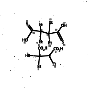 CCC(C(=O)O)C(S)(CC)C(=O)O.CCC(CC)(C(O)=S)C(CC)(CC)C(O)=S